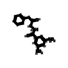 O=C(Cc1ccccc1)ONC(=O)c1cc([N+](=O)[O-])cc([N+](=O)[O-])c1